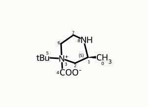 C[C@H]1C[N+](C(=O)[O-])(C(C)(C)C)CCN1